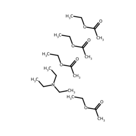 CCN(CC)CC.CCOC(C)=O.CCOC(C)=O.CCOC(C)=O.CCOC(C)=O